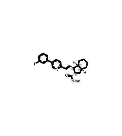 CNC(=O)[C@H]1C[C@H]2CCCC[C@H]2[C@@H]1C=Cc1ccc(-c2cccc(F)c2)cn1